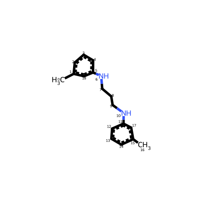 Cc1cccc(NCCCNc2cccc(C)c2)c1